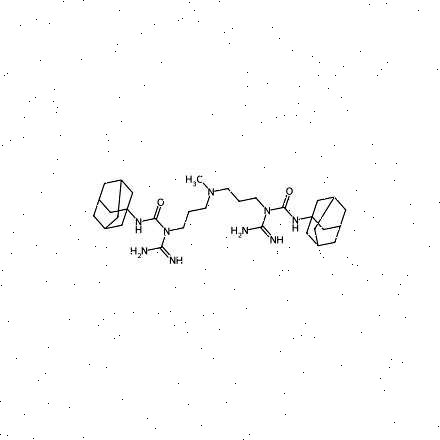 CN(CCCN(C(=N)N)C(=O)NC12CC3CC(CC(C3)C1)C2)CCCN(C(=N)N)C(=O)NC12CC3CC(CC(C3)C1)C2